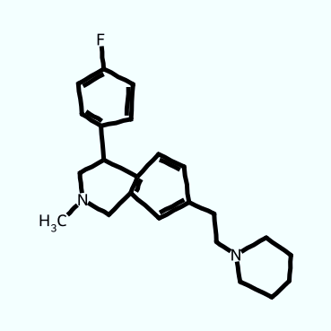 CN1Cc2cc(CCN3CCCCC3)ccc2C(c2ccc(F)cc2)C1